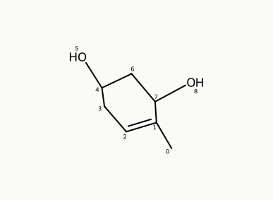 CC1=CCC(O)CC1O